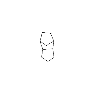 [C]1CC2CC1C1CCCC21